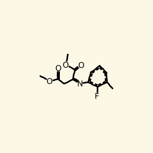 COC(=O)CC(=Nc1cccc(C)c1F)C(=O)OC